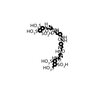 Cn1cc(NC(=O)c2cc3cc(NC(=O)Nc4ccc5c(c4)cc(C(=O)Nc4cc(C(=O)Nc6cc(S(=O)(=O)O)c7cc(S(=O)(=O)O)cc(S(=O)(=O)O)c7c6)n(C)c4)n5C)ccc3n2C)cc1C(=O)Nc1cc(S(=O)(=O)O)c2cc(S(=O)(=O)O)cc(S(=O)(=O)O)c2c1